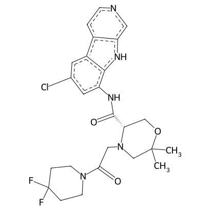 CC1(C)CN(CC(=O)N2CCC(F)(F)CC2)[C@H](C(=O)Nc2cc(Cl)cc3c2[nH]c2cnccc23)CO1